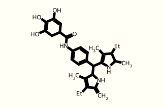 C=C1NC(C(C2=C(C)C(CC)C(C)N2)c2ccc(NC(=O)C3C=C(O)C(O)=C(O)C3)cc2)C(C)=C1CC